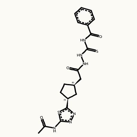 CC(=O)Nc1nnc([C@H]2CC[C@@H](CC(=O)NNC(=S)NC(=O)c3ccccc3)C2)s1